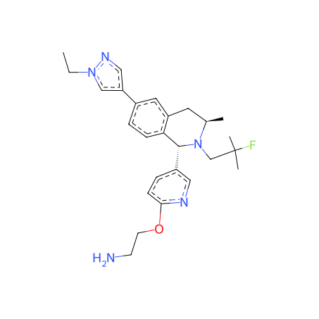 CCn1cc(-c2ccc3c(c2)C[C@@H](C)N(CC(C)(C)F)[C@@H]3c2ccc(OCCN)nc2)cn1